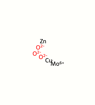 [Cu].[Mo+6].[O-2].[O-2].[O-2].[Zn]